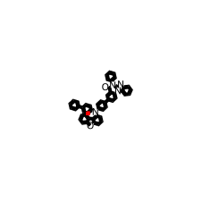 O=c1c2cc(-c3ccc(N(c4ccc(-c5ccccc5)cc4)c4cccc5oc6ccccc6c45)cc3)ccc2n2c3ccccc3nc2n1-c1ccccc1